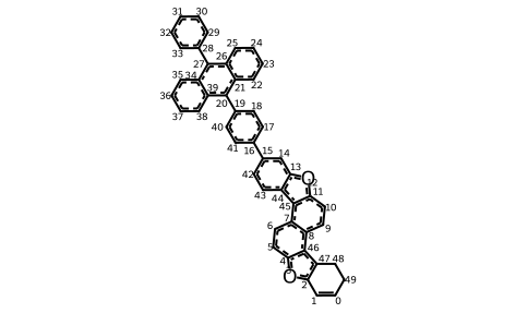 C1=Cc2oc3ccc4c(ccc5oc6cc(-c7ccc(-c8c9ccccc9c(-c9ccccc9)c9ccccc89)cc7)ccc6c54)c3c2CC1